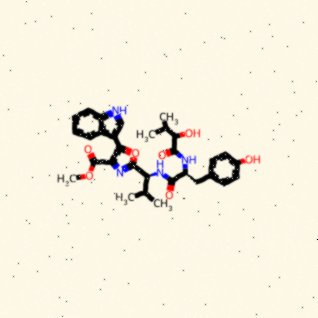 COC(=O)c1nc([C@@H](NC(=O)[C@H](Cc2ccc(O)cc2)NC(=O)C(O)C(C)C)C(C)C)oc1-c1c[nH]c2ccccc12